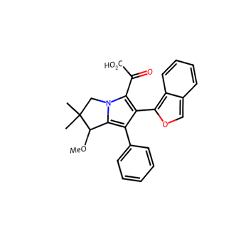 COC1c2c(-c3ccccc3)c(-c3occ4ccccc34)c(C(=O)C(=O)O)n2CC1(C)C